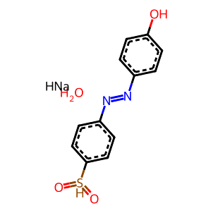 O.O=[SH](=O)c1ccc(/N=N/c2ccc(O)cc2)cc1.[NaH]